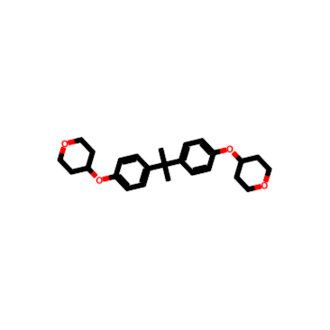 CC(C)(c1ccc(OC2CCOCC2)cc1)c1ccc(OC2CCOCC2)cc1